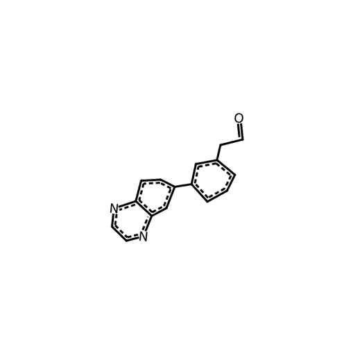 O=CCc1cccc(-c2ccc3nccnc3c2)c1